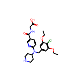 CCOc1cc(CN(c2ccc(C(=O)NCC(=O)O)cn2)C2CCNCC2)cc(OCC)c1Cl